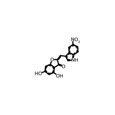 O=C1/C(=C\c2c[nH]c3ccc([N+](=O)[O-])cc23)Oc2cc(O)cc(O)c21